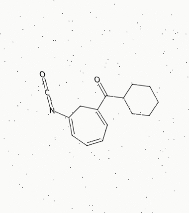 O=C=NC1=CC=CC=C(C(=O)C2CCCCC2)C1